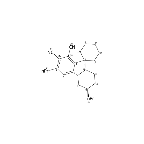 CCCc1ccc(C2([C@H]3CC[C@H](CCC)CC3)CCCCC2)c(C#N)c1C#N